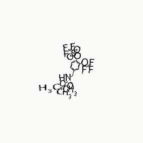 CC(C)(C)OC(=O)NCc1ccc(OS(=O)(=O)C(F)(F)F)c(OC(F)(F)F)c1